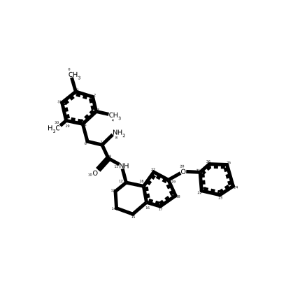 Cc1cc(C)c(CC(N)C(=O)NC2CCCc3ccc(Oc4ccccc4)cc32)c(C)c1